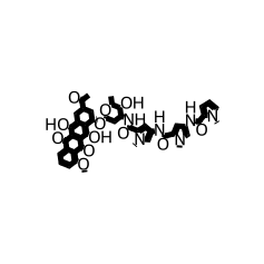 COc1cccc2c1C(=O)c1c(O)c3c(c(O)c1C2=O)CC(C(C)=O)C[C@@H]3OC1CC(NC(=O)c2cc(NC(=O)c3cc(NC(=O)c4cccn4C)cn3C)cn2C)C(O)C(C)O1